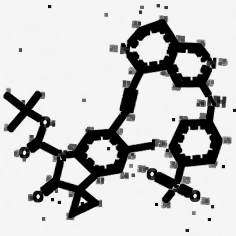 CC(C)(C)OC(=O)N1C(=O)C2(CC2)c2cc(F)c(C#Cc3nccc4cnc(Nc5ccc(S(C)(=O)=O)cc5)cc34)cc21